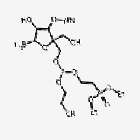 B[C@@H]1O[C@@](CO)(COP(OCCC#N)OCCP(=O)(OCC)OCC)C(OCCCC)[C@@H]1O